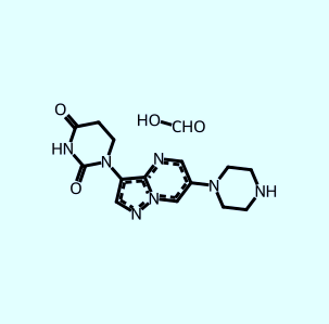 O=C1CCN(c2cnn3cc(N4CCNCC4)cnc23)C(=O)N1.O=CO